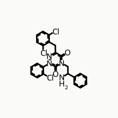 NC(Cn1c(=O)c(Cc2c(Cl)cccc2Cl)nn(-c2ccccc2Cl)c1=O)c1ccccc1